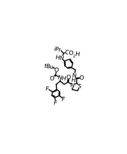 CC(C)C(Nc1ccc(CNC(=O)C2SCCN2C(=O)CC(Cc2cc(F)c(F)cc2F)NC(=O)OC(C)(C)C)cc1)C(=O)O